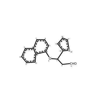 O=CCC(Oc1cccc2ccccc12)c1cccs1